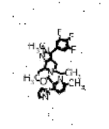 CCC1Cc2c(nn(C)c2-c2cc(F)c(F)c(F)c2)C(CC)N1C(=O)c1nc(C)ccc1-n1cccn1